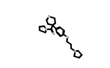 O=C(N1CCCC1)C1(c2ccc(OCCCN3CCCC3)cc2)CCOCC1